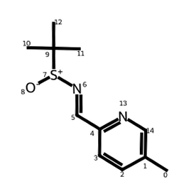 Cc1ccc(C=N[S+]([O-])C(C)(C)C)nc1